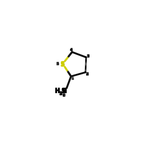 [SiH3]C1CCCS1